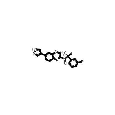 CN(c1cnc2cc(-c3cn[nH]c3)ccc2n1)[C@](C)(I)c1cccc(F)c1